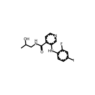 CC(O)CNC(=O)c1ccncc1Nc1ccc(I)cc1F